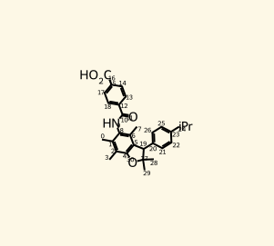 Cc1c(C)c2c(c(C)c1NC(=O)c1ccc(C(=O)O)cc1)C(c1ccc(C(C)C)cc1)C(C)(C)O2